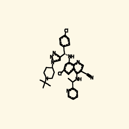 CC(Nc1c(C#N)cnc2c(N[C@@H](c3ccc(Cl)cc3)c3cn(C4CCN(C(C)(C)C)CC4)nn3)cc(Cl)cc12)c1ccccn1